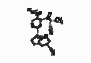 C[C@H](C#N)Nc1cc(-c2ccc3cc(C#N)cnn23)ncc1N=[N+]=[N-]